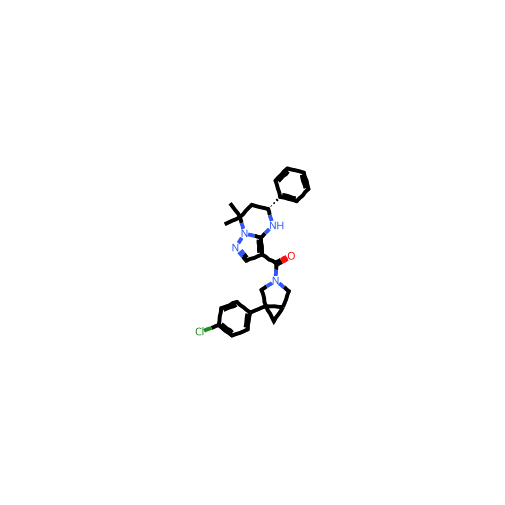 CC1(C)C[C@H](c2ccccc2)Nc2c(C(=O)N3CC4CC4(c4ccc(Cl)cc4)C3)cnn21